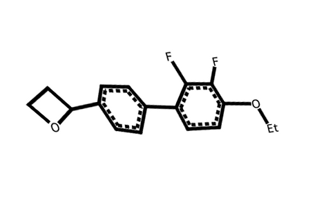 CCOc1ccc(-c2ccc(C3CCO3)cc2)c(F)c1F